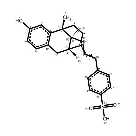 CN1CC[C@@]2(C)c3cc(O)ccc3C[C@@H]1[C@@H]2NCCc1ccc(S(C)(=O)=O)cc1